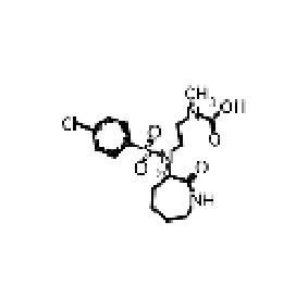 CN(CCN([C@@H]1CCCCNC1=O)S(=O)(=O)c1ccc(Cl)cc1)C(=O)O